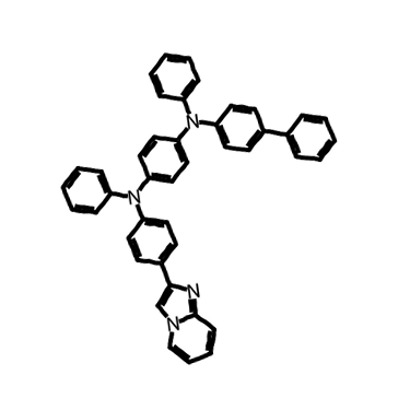 c1ccc(-c2ccc(N(c3ccccc3)c3ccc(N(c4ccccc4)c4ccc(-c5cn6ccccc6n5)cc4)cc3)cc2)cc1